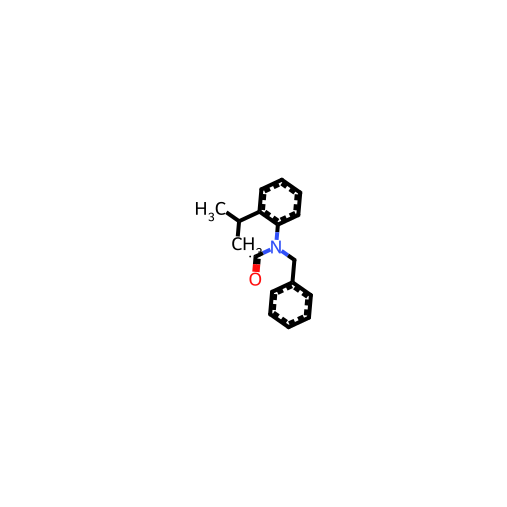 CC(C)c1ccccc1N([C]=O)Cc1ccccc1